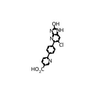 O=C(O)c1ccc(-c2ccc(-c3nc4nc(O)[nH]c4cc3Cl)cc2)nc1